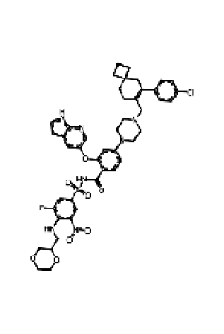 O=C(NS(=O)(=O)c1cc(F)c(NCC2COCCO2)c([N+](=O)[O-])c1)c1ccc(N2CCN(CC3=C(c4ccc(Cl)cc4)CC4(CCC4)CC3)CC2)cc1Oc1cnc2[nH]ccc2c1